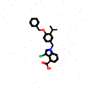 CC(C)c1cc(Cn2cc(Cl)c3c(C(=O)O)cccc32)ccc1OCc1ccccc1